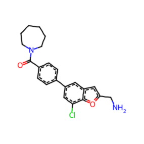 NCc1cc2cc(-c3ccc(C(=O)N4CCCCCC4)cc3)cc(Cl)c2o1